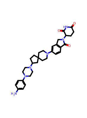 Nc1ccc(N2CCN(C3CCC4(CCN(c5ccc6c(c5)CN(C5CCC(=O)NC5=O)C6=O)CC4)C3)CC2)cc1